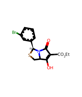 CCOC(=O)C1=C(O)C2CS[C@@H](c3cccc(Br)c3)N2C1=O